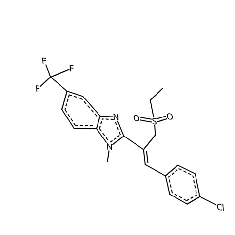 CCS(=O)(=O)C/C(=C\c1ccc(Cl)cc1)c1nc2cc(C(F)(F)F)ccc2n1C